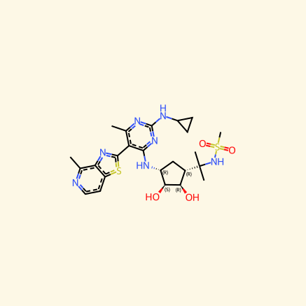 Cc1nc(NC2CC2)nc(N[C@@H]2C[C@H](C(C)(C)NS(C)(=O)=O)[C@@H](O)[C@H]2O)c1-c1nc2c(C)nccc2s1